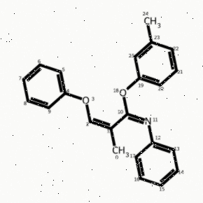 CC(=COc1ccccc1)C(=Nc1ccccc1)Oc1cccc(C)c1